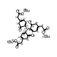 CC(C)(C)OC(=O)CC1=CC=C([S+](C2=CC=C(CC(=O)OC(C)(C)C)CC2=O)C2=CC=C(CC(=O)OC(C)(C)C)CC2=O)C(=O)C1